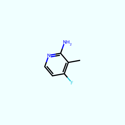 Cc1c(F)ccnc1N